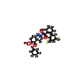 COc1ccc2c(c1OCc1ccccc1)CCN(C(=O)C(Oc1ccc(F)cc1F)c1ccccc1)C2